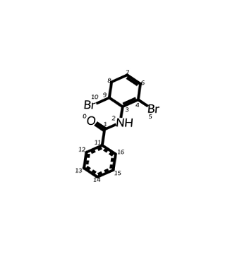 O=C(NC1=C(Br)C=CCC1Br)c1ccccc1